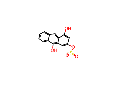 O=[SH](=O)Oc1cc(O)c2cc3ccccc3c(O)c2c1